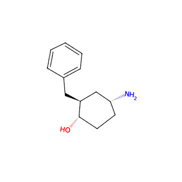 N[C@@H]1CC[C@H](O)[C@@H](Cc2ccccc2)C1